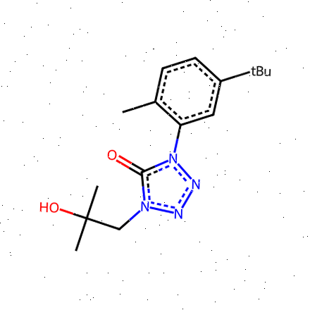 Cc1ccc(C(C)(C)C)cc1-n1nnn(CC(C)(C)O)c1=O